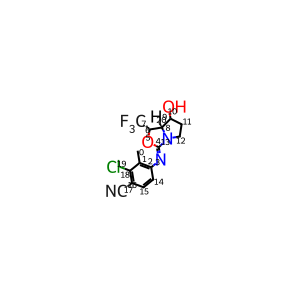 Cc1c(/N=C2\O[C@@H](C(F)(F)F)[C@@H]3C(O)CCN23)ccc(C#N)c1Cl